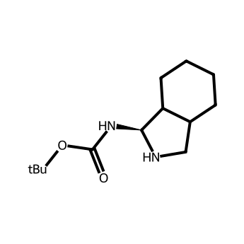 CC(C)(C)OC(=O)N[C@@H]1NCC2CCCCC21